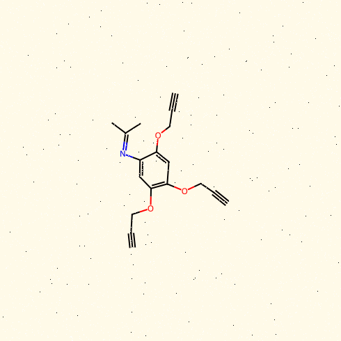 C#CCOc1cc(OCC#C)c(OCC#C)cc1N=C(C)C